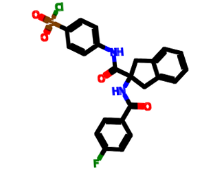 O=C(NC1(C(=O)Nc2ccc(S(=O)(=O)Cl)cc2)Cc2ccccc2C1)c1ccc(F)cc1